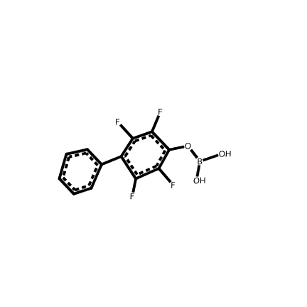 OB(O)Oc1c(F)c(F)c(-c2ccccc2)c(F)c1F